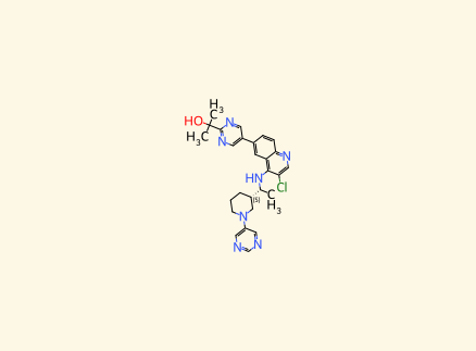 CC(Nc1c(Cl)cnc2ccc(-c3cnc(C(C)(C)O)nc3)cc12)[C@H]1CCCN(c2cncnc2)C1